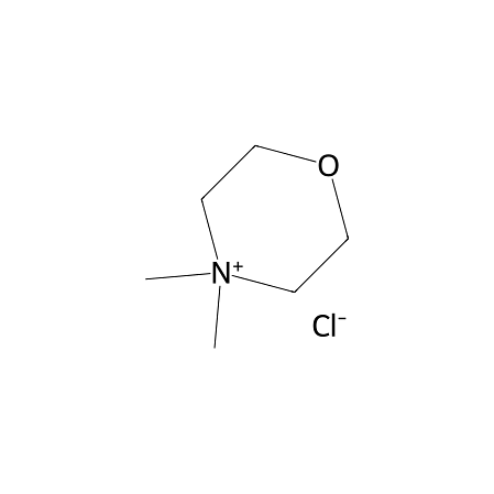 C[N+]1(C)CCOCC1.[Cl-]